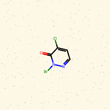 O=c1c(Cl)ccnn1Br